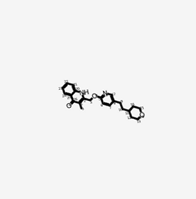 Cc1c(COc2ccc(CCC3CCOCC3)cn2)[nH]c2ccccc2c1=O